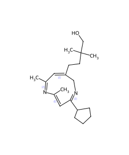 CC1=N/C(C)=C/C(C2CCCC2)=N\C/C(CCC(C)(C)CO)=C\1